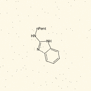 CC[CH]CCNc1nc2ccccc2[nH]1